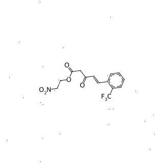 O=C(C=Cc1ccccc1C(F)(F)F)CC(=O)OCC[N+](=O)[O-]